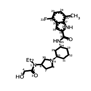 CCN(C(=O)CO)C1CCN([C@@H]2CCC[C@@H](NC(=O)c3cc4c(F)ccc(C)c4[nH]3)C2)C1